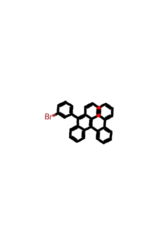 Brc1cccc(-c2c3ccccc3c(-c3ccccc3-c3ccccc3)c3ccccc23)c1